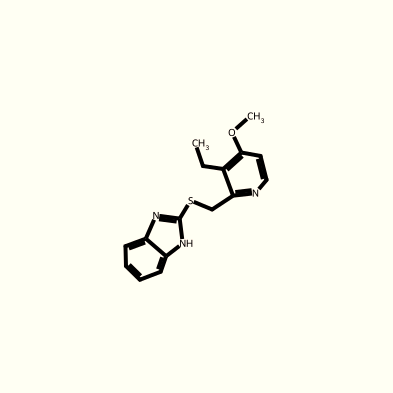 CCc1c(OC)ccnc1CSc1nc2ccccc2[nH]1